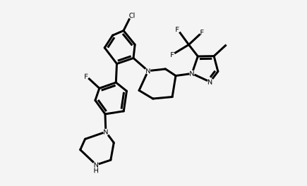 Cc1cnn(C2CCCN(c3cc(Cl)ccc3-c3ccc(N4CCNCC4)cc3F)C2)c1C(F)(F)F